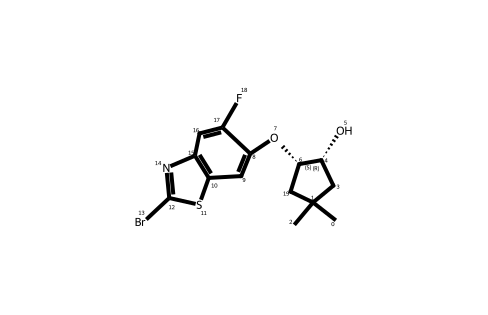 CC1(C)C[C@@H](O)[C@@H](Oc2cc3sc(Br)nc3cc2F)C1